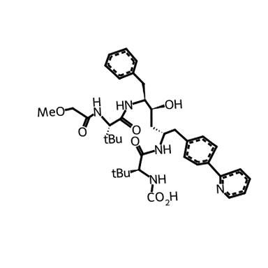 COCC(=O)N[C@H](C(=O)N[C@@H](Cc1ccccc1)[C@@H](O)C[C@H](Cc1ccc(-c2ccccn2)cc1)NC(=O)[C@@H](NC(=O)O)C(C)(C)C)C(C)(C)C